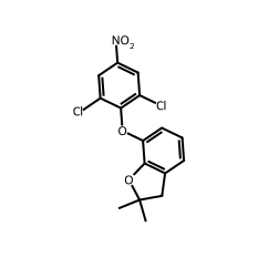 CC1(C)Cc2cccc(Oc3c(Cl)cc([N+](=O)[O-])cc3Cl)c2O1